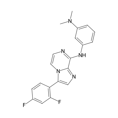 CN(C)c1cccc(Nc2nccn3c(-c4ccc(F)cc4F)cnc23)c1